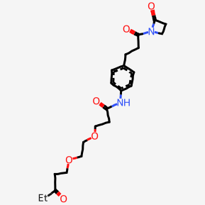 CCC(=O)CCOCCOCCC(=O)Nc1ccc(CCC(=O)N2CCC2=O)cc1